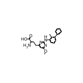 COc1cc(CC[C@@H](N)C(=O)O)nc(Nc2cccc(-c3ccccc3)c2C)n1